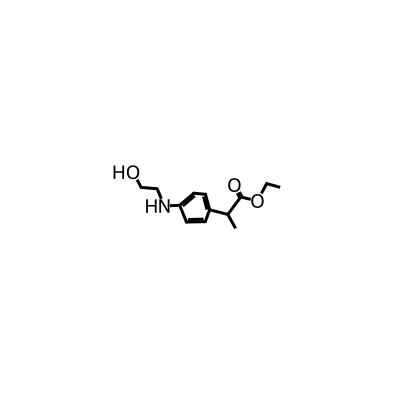 CCOC(=O)C(C)c1ccc(NCCO)cc1